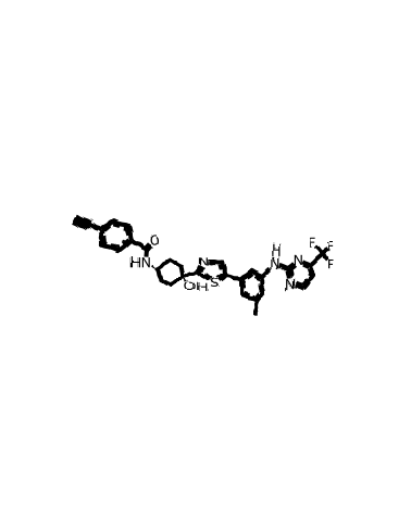 C#Cc1ccc(C(=O)N[C@H]2CC[C@](O)(c3ncc(-c4cc(C)cc(Nc5nccc(C(F)(F)F)n5)c4)s3)CC2)cc1